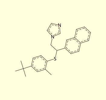 Cc1cc(C(C)(C)C)ccc1SC(Cn1ccnc1)c1ccc2ccccc2c1